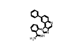 N=C(N)c1ccccc1-n1cnc2cnc3ccc(-c4ccccc4)cc3c21